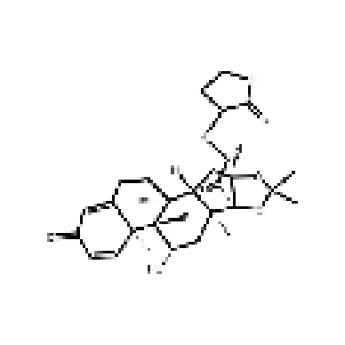 CC1(C)O[C@@H]2C[C@H]3[C@@H]4CCC5=CC(=O)C=C[C@]5(C)[C@@]4(F)[C@@H](O)C[C@]3(C)[C@]2(C(=O)CSC2CCOC2=O)O1